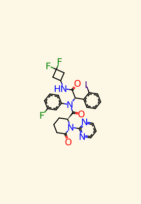 O=C(NC1CC(F)(F)C1)[C@@H](c1ccccc1I)N(C(=O)[C@@H]1CCCC(=O)N1c1ncccn1)c1cccc(F)c1